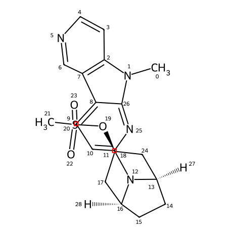 Cn1c2ccncc2c2ccc(N3[C@@H]4CC[C@H]3C[C@@H](OS(C)(=O)=O)C4)nc21